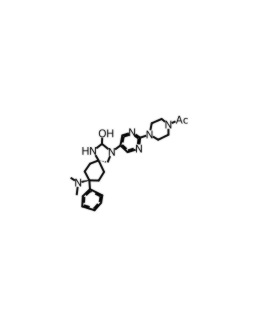 CC(=O)N1CCN(c2ncc(N3C[C@]4(CC[C@](c5ccccc5)(N(C)C)CC4)NC3O)cn2)CC1